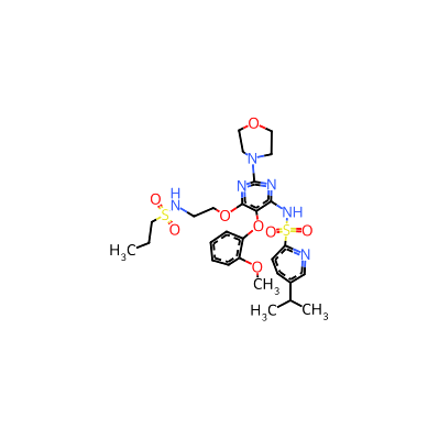 CCCS(=O)(=O)NCCOc1nc(N2CCOCC2)nc(NS(=O)(=O)c2ccc(C(C)C)cn2)c1Oc1ccccc1OC